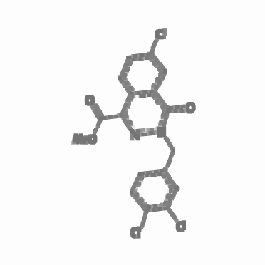 COC(=O)c1nn(Cc2ccc(Cl)c(Cl)c2)c(=O)c2cc(Cl)ccc12